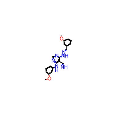 COc1cccc(/C=N/Nc2ncnc(Nc3cccc(OC)c3)c2C=N)c1